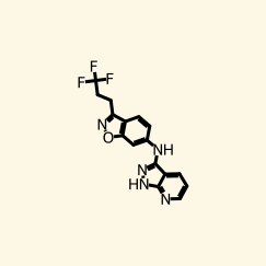 FC(F)(F)CCc1noc2cc(Nc3n[nH]c4ncccc34)ccc12